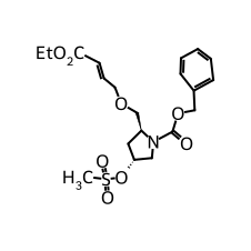 CCOC(=O)/C=C/COC[C@@H]1C[C@@H](OS(C)(=O)=O)CN1C(=O)OCc1ccccc1